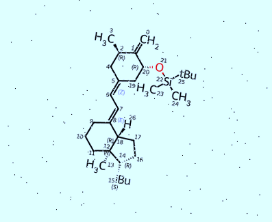 C=C1[C@H](C)C/C(=C/C=C2\CCC[C@]3(C)[C@@H]([C@@H](C)CC)CC[C@@H]23)C[C@H]1O[Si](C)(C)C(C)(C)C